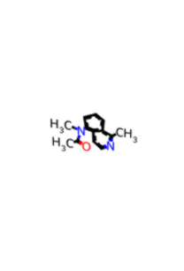 CC(=O)N(C)c1cccc2c(C)nccc12